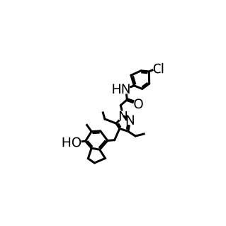 CCc1nn(CC(=O)Nc2ccc(Cl)cc2)c(CC)c1Cc1cc(C)c(O)c2c1CCC2